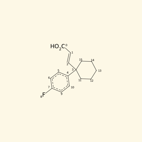 O=C(O)C=CC1(c2ccc(F)cc2)CCCCC1